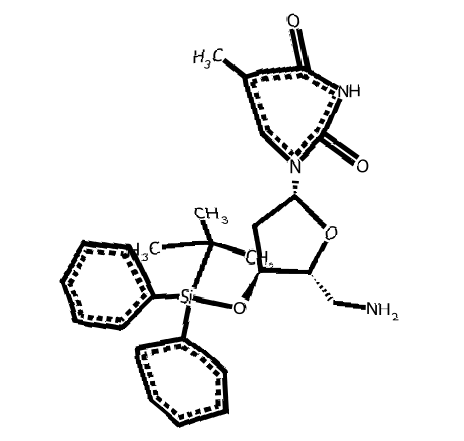 Cc1cn([C@H]2C[C@H](O[Si](c3ccccc3)(c3ccccc3)C(C)(C)C)[C@@H](CN)O2)c(=O)[nH]c1=O